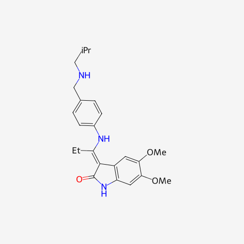 CCC(Nc1ccc(CNCC(C)C)cc1)=C1C(=O)Nc2cc(OC)c(OC)cc21